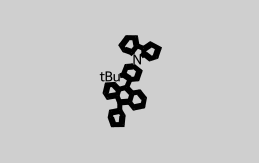 CC(C)(C)c1cc(-n2c3ccccc3c3ccccc32)ccc1-c1c2ccccc2c(-c2ccccc2)c2ccccc12